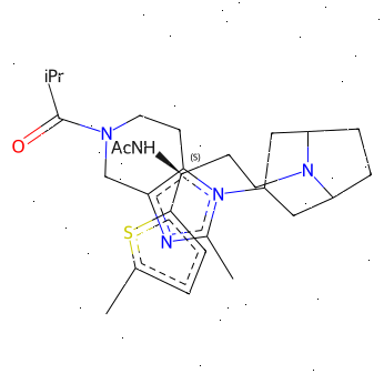 CC(=O)N[C@@H](CCN1C2CCC1CC(n1c(C)nc3c1CCN(C(=O)C(C)C)C3)C2)c1ccc(C)s1